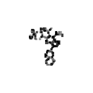 CC(O)c1c(C2CCS(=O)(=O)CC2)nc2c(-c3cnc4ccccc4c3)cnn2c1N